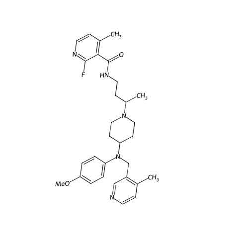 COc1ccc(N(Cc2cnccc2C)C2CCN(C(C)CCNC(=O)c3c(C)ccnc3F)CC2)cc1